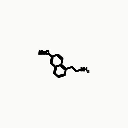 COc1ccc2c(CCN)cccc2c1